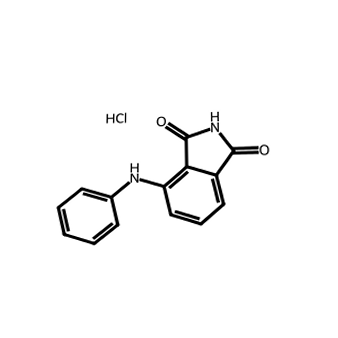 Cl.O=C1NC(=O)c2c(Nc3ccccc3)cccc21